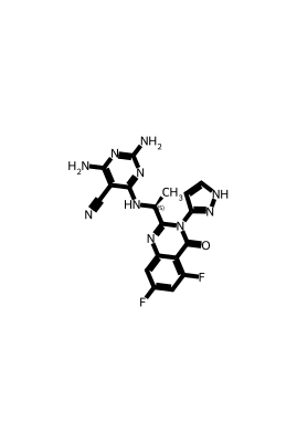 C[C@H](Nc1nc(N)nc(N)c1C#N)c1nc2cc(F)cc(F)c2c(=O)n1-c1cc[nH]n1